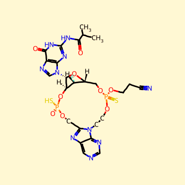 CC(C)C(=O)Nc1nc2c(ncn2[C@@H]2O[C@@H]3COP(=S)(OCCC#N)OCCn4c(nc5cncnc54)COP(=O)(S)O[C@@H]2[C@@H]3F)c(=O)[nH]1